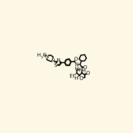 CC[C@H]1CN(C(=O)[C@@H](NC(=O)c2ccc(-c3csc(N4CCN(C)CC4)n3)cc2)C2CCCCC2)[C@@H]2C(=O)CO[C@H]12